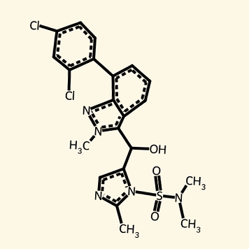 Cc1ncc(C(O)c2c3cccc(-c4ccc(Cl)cc4Cl)c3nn2C)n1S(=O)(=O)N(C)C